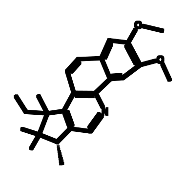 CCC1(C)c2c(cnc3c2ccc2cc(OC)c(OC)cc23)[C@H](C)C1(C)C